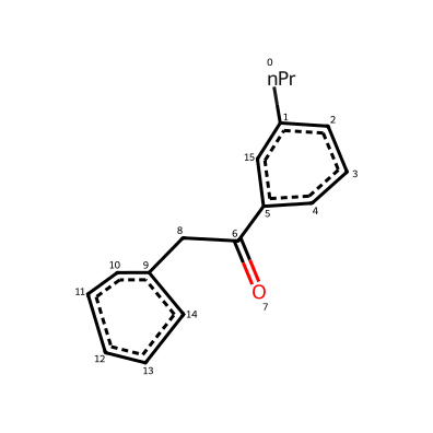 CCCc1cccc(C(=O)Cc2ccccc2)c1